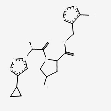 Cc1nnsc1CNC(=O)C1CC(O)CN1C(=O)[C@@H](n1cc(C2CC2)nn1)C(C)(C)C